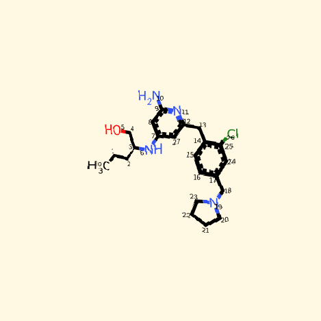 CCC[C@@H](CO)Nc1cc(N)nc(Cc2ccc(CN3CCCC3)cc2Cl)c1